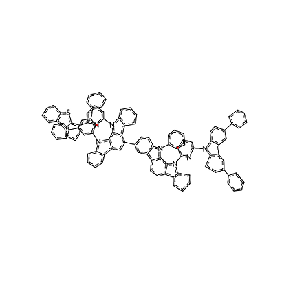 c1ccc(-c2cc(-c3ccccc3)cc(-n3c4ccccc4c4cc(-c5ccc6c(c5)c5ccc7c8ccccc8n(-c8cccc(-n9c%10ccc(-c%11ccccc%11)cc%10c%10cc(-c%11ccccc%11)ccc%109)n8)c7c5n6-c5ccccc5)c5c6ccccc6n(-c6cccc(-c7cccc8c7sc7ccccc78)n6)c5c43)c2)cc1